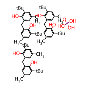 Cc1cc(Cc2cc(C)cc(C(C)(C)C)c2O)c(O)c(C(C)(C)C)c1.Cc1cc(Cc2cc(C)cc(C(C)(C)C)c2O)c(O)c(C(C)(C)C)c1.Cc1cc(Cc2cc(C)cc(C(C)(C)C)c2O)c(O)c(C(C)(C)C)c1.O=P(O)(O)O